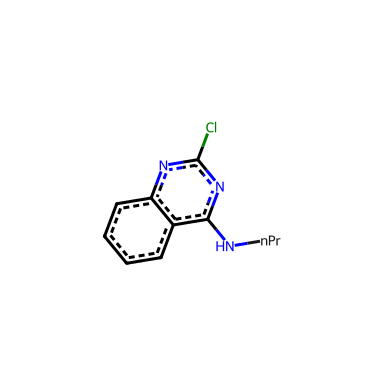 CCCNc1nc(Cl)nc2ccccc12